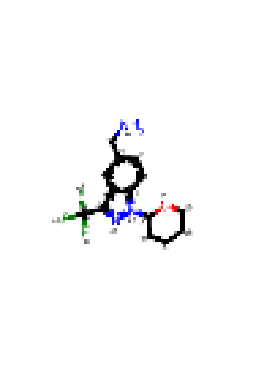 NCc1ccc2c(c1)c(C(F)(F)F)nn2C1CCCCO1